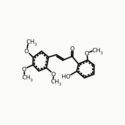 COc1cc(OC)c(OC)cc1C=CC(=O)c1c(O)cccc1OC